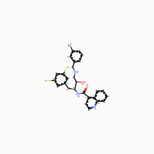 CCc1cccc(CNC[C@@H](O)[C@H](Cc2cc(F)cc(F)c2)NC(=O)c2ccnc3ccccc23)c1